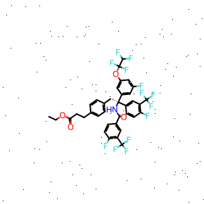 CCOC(=O)CCc1ccc(C[C@](NC(=O)c2ccc(F)c(C(F)(F)F)c2)(c2cc(F)cc(OC(F)(F)C(F)F)c2)c2ccc(F)c(C(F)(F)F)c2)cc1